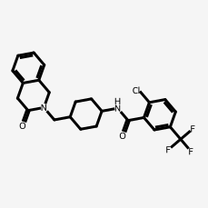 O=C(NC1CCC(CN2Cc3ccccc3CC2=O)CC1)c1cc(C(F)(F)F)ccc1Cl